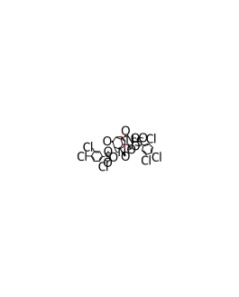 O=C1C2C=CC3C(C4C(=O)N(OS(=O)(=O)c5cc(Cl)c(Cl)cc5Cl)C(=O)C24)C1C(OS(=O)(=O)c1cc(Cl)c(Cl)cc1Cl)[N+]3=O